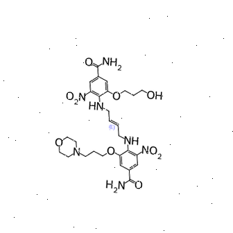 NC(=O)c1cc(OCCCO)c(NC/C=C/CNc2c(OCCCN3CCOCC3)cc(C(N)=O)cc2[N+](=O)[O-])c([N+](=O)[O-])c1